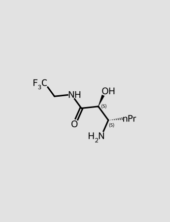 CCC[C@H](N)[C@H](O)C(=O)NCC(F)(F)F